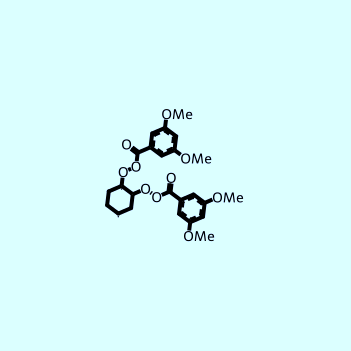 COc1cc(OC)cc(C(=O)OO[C]2CC[CH]CC2OOC(=O)c2cc(OC)cc(OC)c2)c1